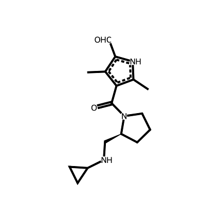 Cc1[nH]c(C=O)c(C)c1C(=O)N1CCC[C@H]1CNC1CC1